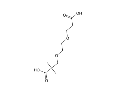 CC(C)(COCCOCCC(=O)O)C(=O)O